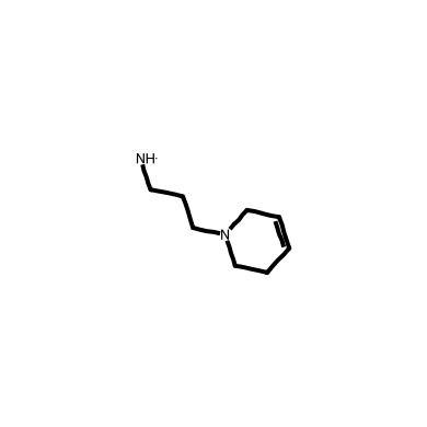 [NH]CCCN1CC=CCC1